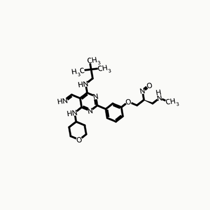 CNC[C@@H](COc1cccc(-c2nc(NCC(C)(C)C)c(C=N)c(NC3CCOCC3)n2)c1)N=O